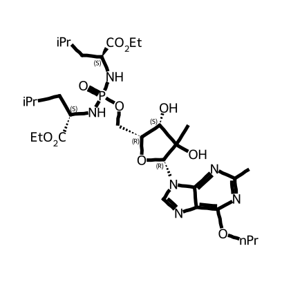 CCCOc1nc(C)nc2c1ncn2[C@@H]1O[C@H](COP(=O)(N[C@@H](CC(C)C)C(=O)OCC)N[C@@H](CC(C)C)C(=O)OCC)[C@H](O)C1(C)O